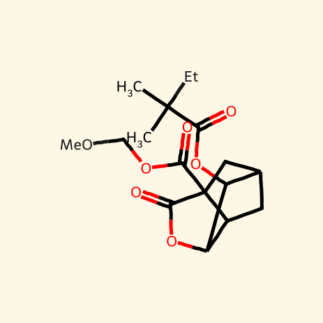 CCC(C)(C)C(=O)OC1C2CC3C1OC(=O)C3(C(=O)OCOC)C2